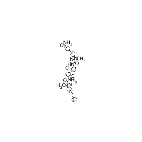 Cc1c(NC(=O)c2nc3c(n2C)CCN(CCC24CCC(CC2)C4)C3)cccc1-c1cccc(NC(=O)c2nc3c(n2C)CCN(C2CCN(C(N)=O)CC2)C3)c1Cl